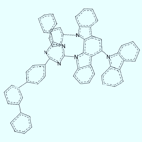 c1ccc(-c2cccc(-c3ccc(-c4nc(-c5ccccc5)nc(-n5c6ccccc6c6c(-n7c8ccccc8c8ccccc87)cc7c8ccccc8n(-c8ccccc8)c7c65)n4)cc3)c2)cc1